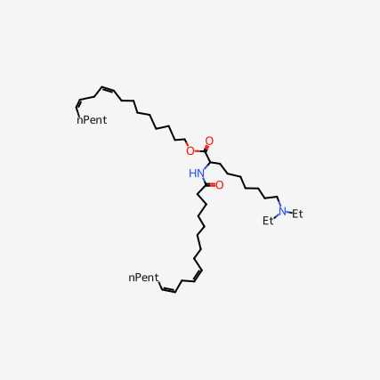 CCCCC/C=C\C/C=C\CCCCCCCCOC(=O)C(CCCCCCCN(CC)CC)NC(=O)CCCCCCC/C=C\C/C=C\CCCCC